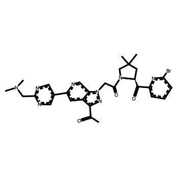 CC(=O)c1nn(CC(=O)N2CC(C)(C)C[C@H]2C(=O)c2cccc(Br)n2)c2cnc(-c3cnc(CN(C)C)nc3)cc12